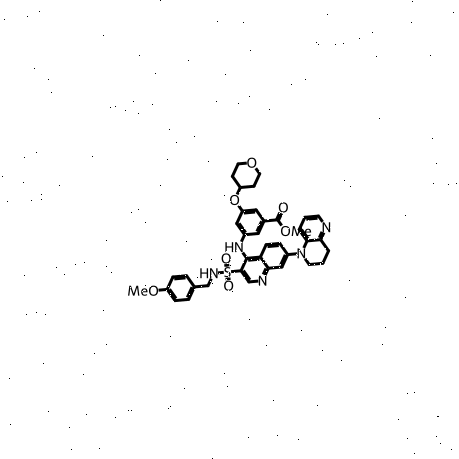 COC(=O)c1cc(Nc2c(S(=O)(=O)NCc3ccc(OC)cc3)cnc3cc(N4CCCc5ncccc54)ccc23)cc(OC2CCOCC2)c1